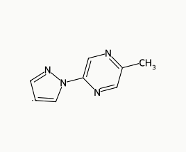 Cc1cnc(-n2c[c]cn2)cn1